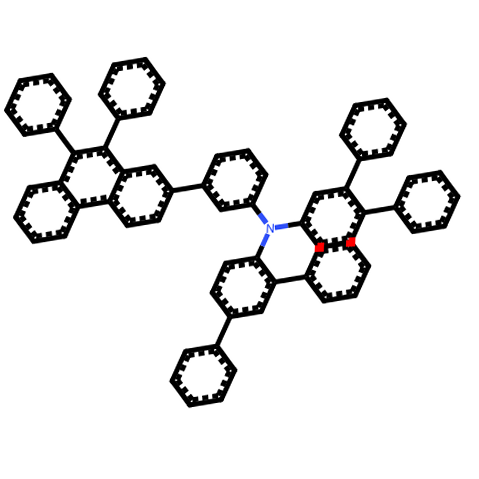 c1ccc(-c2ccc(N(c3cccc(-c4ccc5c(c4)c(-c4ccccc4)c(-c4ccccc4)c4ccccc45)c3)c3ccc(-c4ccccc4)c(-c4ccccc4)c3)c(-c3ccccc3)c2)cc1